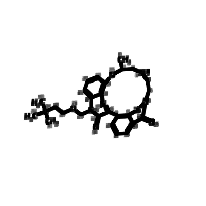 C[C@H]1CNCCn2sc3c(cccc3c2=O)-c2nc3c(cccc3n(COCC[Si](C)(C)C)c2=O)O1